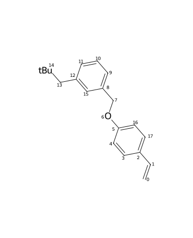 C=Cc1ccc(OCc2cccc(CC(C)(C)C)c2)cc1